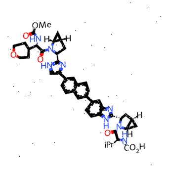 COC(=O)N[C@H](C(=O)N1[C@@H]2C[C@@H]2C[C@H]1c1nc(-c2ccc3cc(-c4ccc5[nH]c([C@@H]6C[C@H]7C[C@H]7N6C(=O)[C@@H](NC(=O)O)C(C)C)nc5c4)ccc3c2)c[nH]1)C1CCOCC1